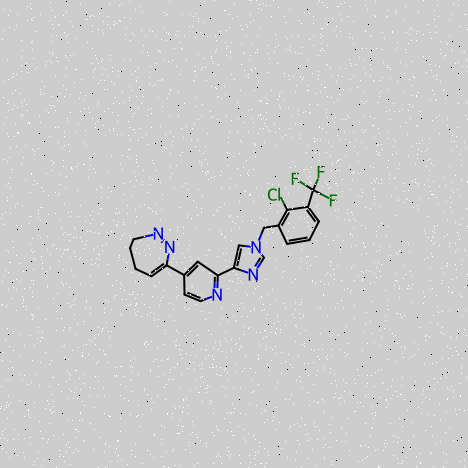 FC(F)(F)c1cccc(Cn2cnc(-c3cc(C4=CCCCN=N4)ccn3)c2)c1Cl